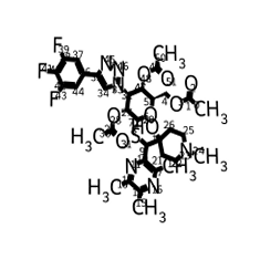 CC(=O)OC[C@H]1O[C@@H](SC(c2nc(C)c(C)nc2C)C2(O)CCN(C)CC2)[C@H](OC(C)=O)[C@@H](n2cc(-c3cc(F)c(F)c(F)c3)nn2)[C@H]1OC(C)=O